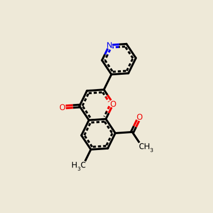 CC(=O)c1cc(C)cc2c(=O)cc(-c3cccnc3)oc12